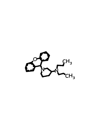 CCCN(CCC)C1CCCN(C2c3ccccc3Oc3ccccc32)C1